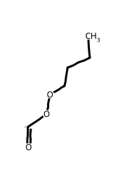 CCCCOO[C]=O